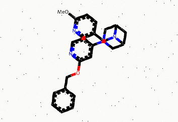 COc1ccc(CN2C3CC2CN(c2[c]cnc(OCc4ccccc4)c2)C3)cn1